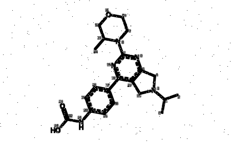 CC(C)N1Cc2nc(N3CCOCC3C)nc(-c3ccc(NC(=O)O)cc3)c2C1